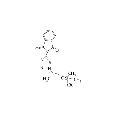 C[C@@H](CO[Si](C)(C)C(C)(C)C)n1cc(N2C(=O)c3ccccc3C2=O)nn1